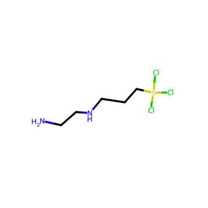 NCCNCCCS(Cl)(Cl)Cl